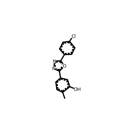 Cc1ccc(-c2nnc(-c3ccc(Cl)cc3)o2)cc1O